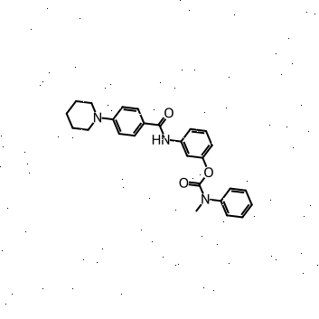 CN(C(=O)Oc1cccc(NC(=O)c2ccc(N3CCCCC3)cc2)c1)c1ccccc1